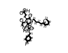 CN1CC(=O)N2[C@@H](CCC(=O)O)C(=O)N(CCCCc3ccccc3)C[C@@H]2N1C(=O)NCc1ccc(F)cc1